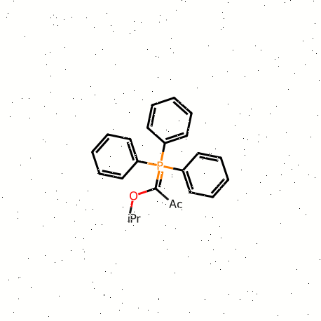 CC(=O)C(OC(C)C)=P(c1ccccc1)(c1ccccc1)c1ccccc1